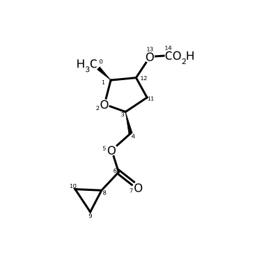 C[C@@H]1O[C@H](COC(=O)C2CC2)CC1OC(=O)O